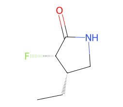 CC[C@H]1CNC(=O)[C@H]1F